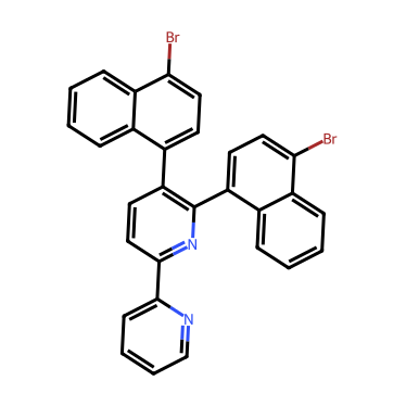 Brc1ccc(-c2ccc(-c3ccccn3)nc2-c2ccc(Br)c3ccccc23)c2ccccc12